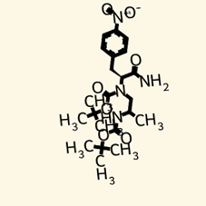 CC(CN(C(=O)OC(C)(C)C)[C@@H](Cc1ccc([N+](=O)[O-])cc1)C(N)=O)NC(=O)OC(C)(C)C